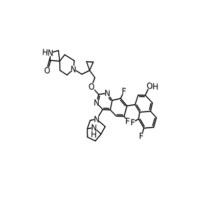 O=C1NCC12CCN(CC1(COc3nc(N4CC5CCC(C4)N5)c4cc(F)c(-c5cc(O)cc6ccc(F)c(F)c56)c(F)c4n3)CC1)CC2